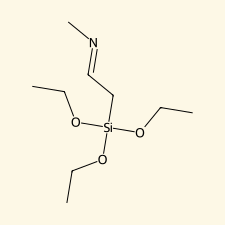 CCO[Si](CC=NC)(OCC)OCC